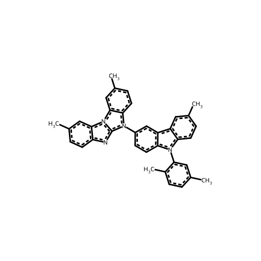 Cc1ccc(C)c(-n2c3ccc(C)cc3c3cc(-n4c5ccc(C)cc5n5c6cc(C)ccc6nc45)ccc32)c1